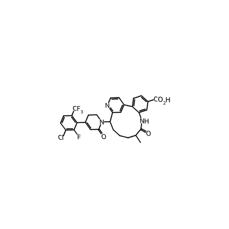 CC1CCCC(N2CCC(c3c(C(F)(F)F)ccc(Cl)c3F)=CC2=O)c2cc(ccn2)-c2ccc(C(=O)O)cc2NC1=O